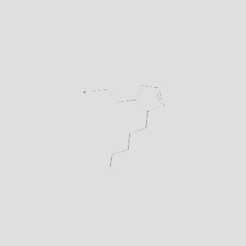 CC(C)CCCCC1N=NC=C1CCC(C)C